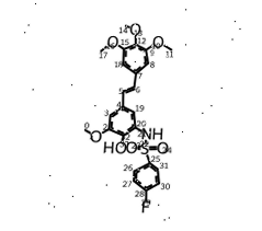 COc1cc(C=Cc2cc(OC)c(OC)c(OC)c2)cc(NS(=O)(=O)c2ccc(F)cc2)c1O